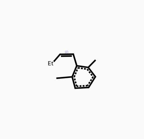 CC/C=C\c1c(C)cccc1C